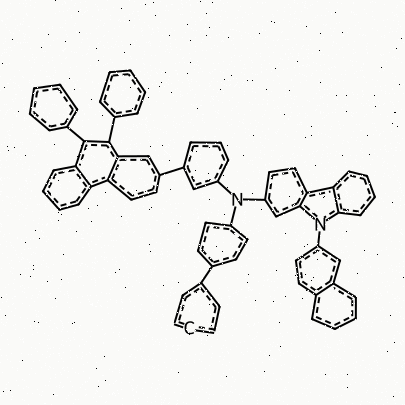 c1ccc(-c2ccc(N(c3cccc(-c4ccc5c(c4)c(-c4ccccc4)c(-c4ccccc4)c4ccccc45)c3)c3ccc4c5ccccc5n(-c5ccc6ccccc6c5)c4c3)cc2)cc1